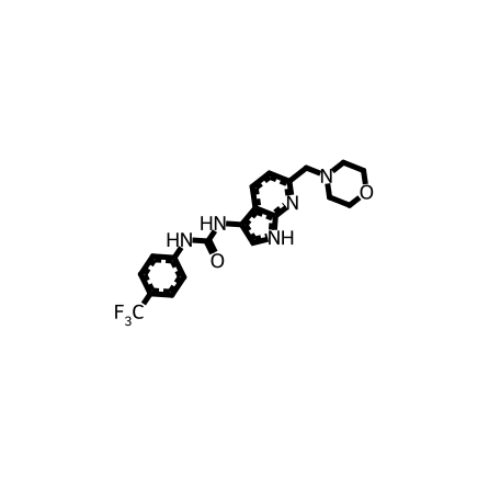 O=C(Nc1ccc(C(F)(F)F)cc1)Nc1c[nH]c2nc(CN3CCOCC3)ccc12